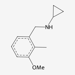 COc1cccc(CNC2CC2)c1C